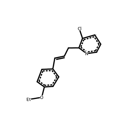 CCOc1ccc(C=CCc2ncc[c]c2Cl)cc1